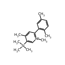 Cc1ccc(C)c(-c2cc(C)c([Si](C)(C)C)c[n+]2C)c1